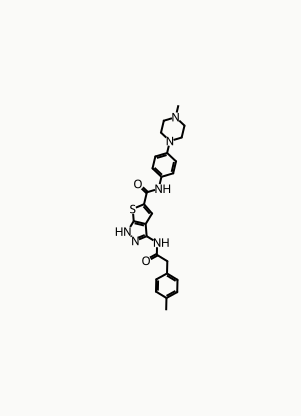 Cc1ccc(CC(=O)Nc2n[nH]c3sc(C(=O)Nc4ccc(N5CCN(C)CC5)cc4)cc23)cc1